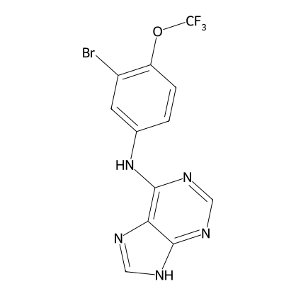 FC(F)(F)Oc1ccc(Nc2ncnc3[nH]cnc23)cc1Br